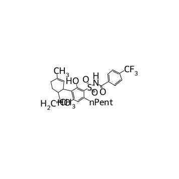 C=C(C)C1CCC(C)=CC1c1c(O)cc(CCCCC)c(S(=O)(=O)NC(=O)c2ccc(C(F)(F)F)cc2)c1O